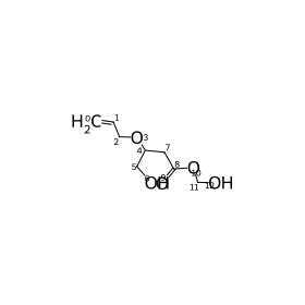 C=CCOC(CO)CC(=O)OCO